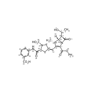 C[C@@H](O)[C@H]1C(=O)N2C(C(=O)OP)=C(S[C@H]3C[C@@H](C(=O)Nc4cccc(C(=O)O)c4)N(C(=O)O)C3)[C@H](C)[C@H]12